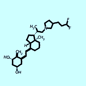 C=C1C(=CC=C2CCC[C@]3(C)[C@@H](C(C)CN4CCC(CCC(F)F)C4)CC[C@@H]23)C[C@@H](O)C[C@@H]1O